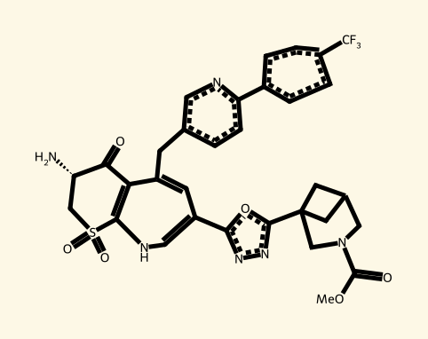 COC(=O)N1CC2CC(c3nnc(C4=CNC5=C(C(=O)[C@@H](N)CS5(=O)=O)C(Cc5ccc(-c6ccc(C(F)(F)F)cc6)nc5)=C4)o3)(C2)C1